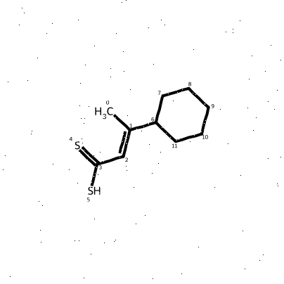 CC(=CC(=S)S)C1CCCCC1